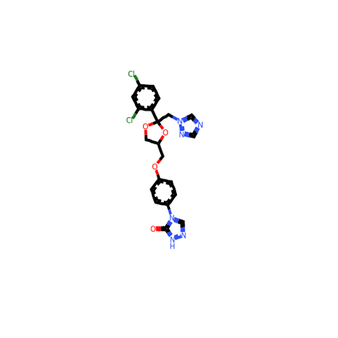 O=c1[nH]ncn1-c1ccc(OCC2COC(Cn3cncn3)(c3ccc(Cl)cc3Cl)O2)cc1